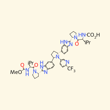 COC(=O)N[C@H](C(=O)N1CCC[C@H]1c1nc2ccc(C3CC[C@H](c4ccc5nc([C@@H]6CCCN6C(=O)[C@@H](NC(=O)O)C(C)C)[nH]c5c4)N3c3ccc(C(F)(F)F)nc3)cc2[nH]1)C(C)C